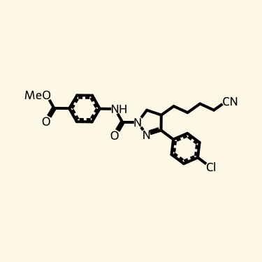 COC(=O)c1ccc(NC(=O)N2CC(CCCCC#N)C(c3ccc(Cl)cc3)=N2)cc1